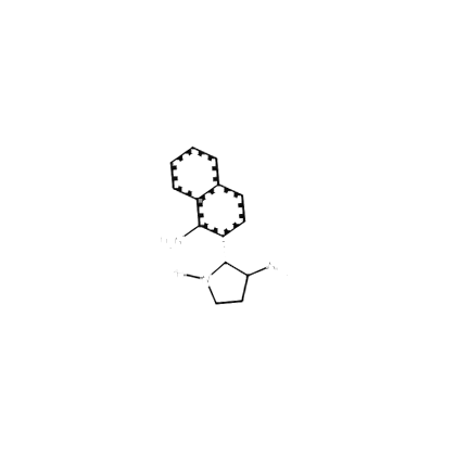 [2H]N1CCC(N)[C@H]1c1ccc2ccccc2c1N